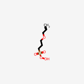 C=CCOCCCS(=O)(=O)OO